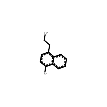 BrCCc1ccc(Br)c2ccccc12